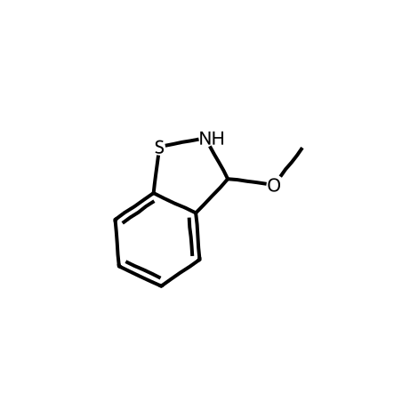 COC1NSc2ccccc21